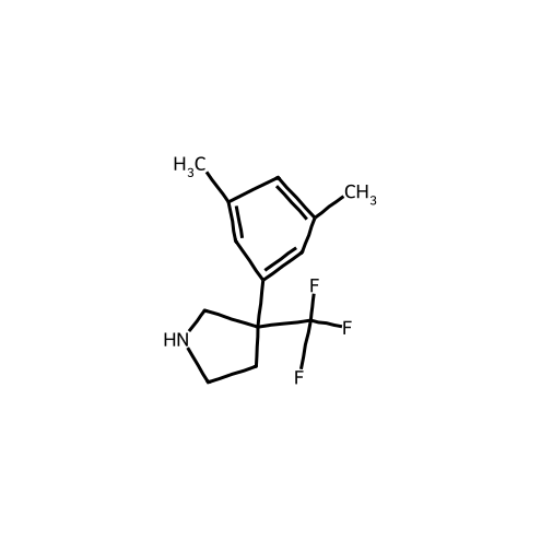 Cc1cc(C)cc(C2(C(F)(F)F)CCNC2)c1